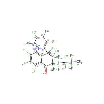 O=C1c2c(F)c(F)c(F)c(F)c2C(F)(c2nc(F)c(F)c(F)c2F)C(F)(F)C1(F)C(F)(F)C(F)(F)C(F)(F)C(F)(F)F